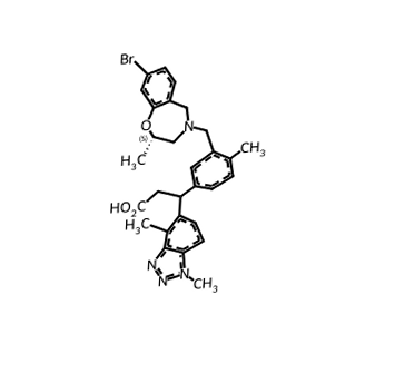 Cc1ccc(C(CC(=O)O)c2ccc3c(nnn3C)c2C)cc1CN1Cc2ccc(Br)cc2O[C@@H](C)C1